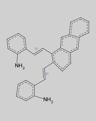 Nc1ccccc1/C=C/c1ccc2cc3ccccc3cc2c1/C=C/c1ccccc1N